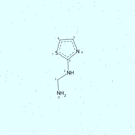 NCNc1nccs1